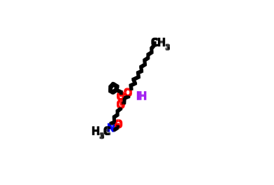 CCCCCCCCCCCCCCCCOCC(COCCCCC1CN(C)CCO1)OCc1ccccc1.I